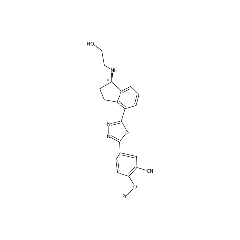 CC(C)Oc1ccc(-c2nnc(-c3cccc4c3CC[C@H]4NCCO)s2)cc1C#N